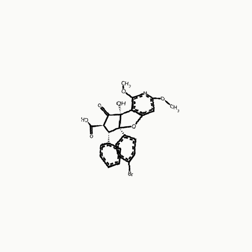 COc1cc2c(c(OC)n1)[C@]1(O)C(=O)[C@H](C(=O)O)[C@@H](c3ccccc3)[C@]1(c1ccc(Br)cc1)O2